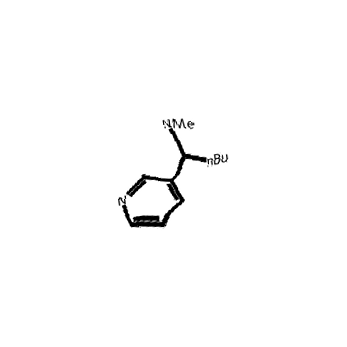 CCCCC(NC)c1cccnc1